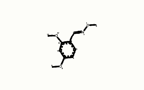 CO/N=C/c1ccc(OC)cc1OC